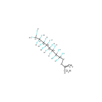 C=C(CCC(F)(F)C(F)(F)C(F)(F)C(F)(F)C(F)(F)C(F)(F)C(F)(F)C(F)F)C(=O)O